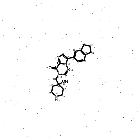 O=c1c2ncc(-c3ccc4c(c3)CC[CH]4)n2ncn1CC1(O)CCNCC1